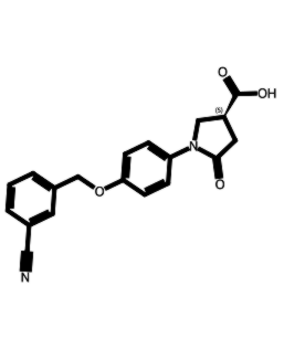 N#Cc1cccc(COc2ccc(N3C[C@@H](C(=O)O)CC3=O)cc2)c1